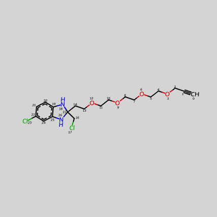 C#CCOCCOCCOCCOCCC1(CCl)Nc2ccc(Cl)cc2N1